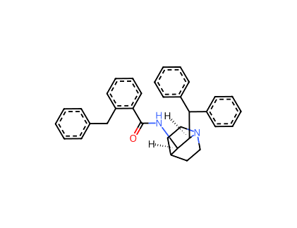 O=C(N[C@@H]1C2CCN(CC2)[C@@H]1C(c1ccccc1)c1ccccc1)c1ccccc1Cc1ccccc1